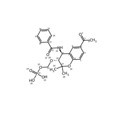 CC(=O)c1ccc2c(c1)[C@H](NC(=O)c1ccccc1)[C@@H](OCOP(=O)(O)O)C(C)(C)O2